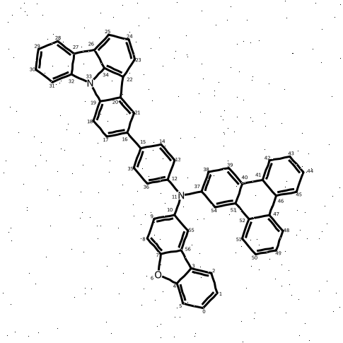 c1ccc2c(c1)oc1ccc(N(c3ccc(-c4ccc5c(c4)c4cccc6c7ccccc7n5c64)cc3)c3ccc4c5ccccc5c5ccccc5c4c3)cc12